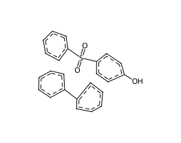 O=S(=O)(c1ccccc1)c1ccc(O)cc1.c1ccc(-c2ccccc2)cc1